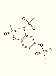 CS(=O)(=O)Oc1ccc(OS(C)(=O)=O)c(OS(C)(=O)=O)c1